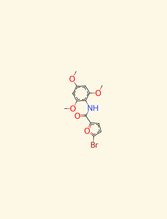 COc1cc(OC)c(NC(=O)c2ccc(Br)o2)c(OC)c1